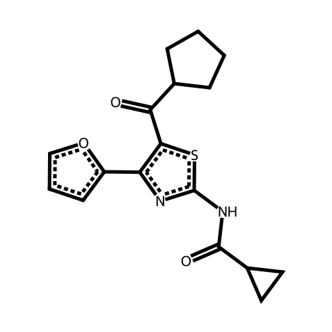 O=C(Nc1nc(-c2ccco2)c(C(=O)C2CCCC2)s1)C1CC1